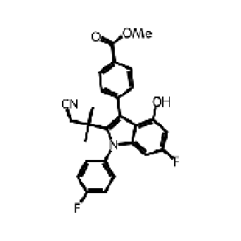 COC(=O)c1ccc(-c2c(C(C)(C)CC#N)n(-c3ccc(F)cc3)c3cc(F)cc(O)c23)cc1